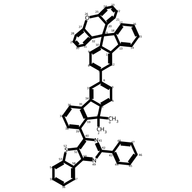 CC1(C)c2ccc(-c3ccc4c(c3)-c3ccccc3C43c4ccccc4Oc4ccccc43)cc2-c2cccc(-c3nc(-c4ccccc4)nc4c3sc3ccccc34)c21